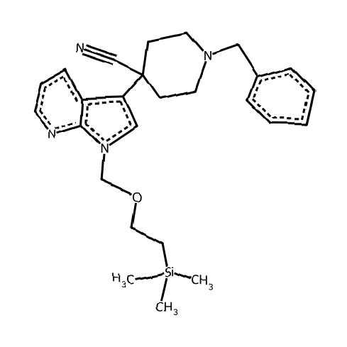 C[Si](C)(C)CCOCn1cc(C2(C#N)CCN(Cc3ccccc3)CC2)c2cccnc21